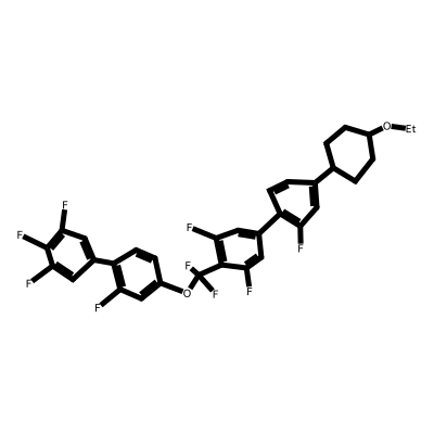 CCOC1CCC(c2ccc(-c3cc(F)c(C(F)(F)Oc4ccc(-c5cc(F)c(F)c(F)c5)c(F)c4)c(F)c3)c(F)c2)CC1